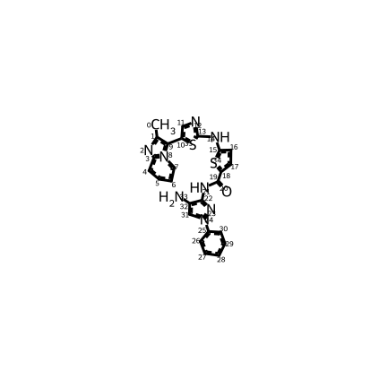 Cc1nc2ccccn2c1-c1cnc(Nc2ccc(C(=O)Nc3nn(-c4ccccc4)cc3N)s2)s1